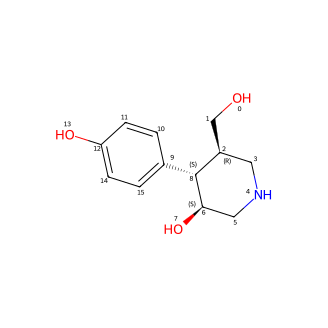 OC[C@H]1CNC[C@@H](O)[C@@H]1c1ccc(O)cc1